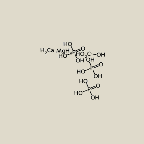 O=C(O)O.O=P(O)(O)O.O=P(O)(O)O.O=P(O)(O)O.[CaH2].[MgH2]